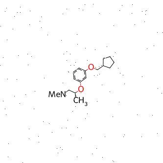 CNC[C@H](C)Oc1cccc(OCC2CCCC2)c1